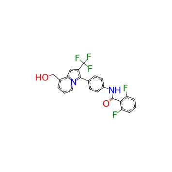 O=C(Nc1ccc(-c2c(C(F)(F)F)cc3c(CO)cccn23)cc1)c1c(F)cccc1F